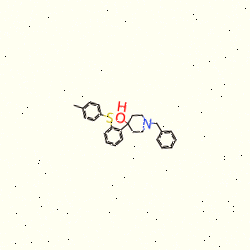 Cc1ccc(Sc2ccccc2C2(O)CCN(Cc3ccccc3)CC2)cc1